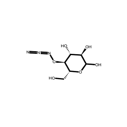 [N-]=[N+]=NO[C@H]1[C@H](O)[C@@H](O)C(O)O[C@@H]1CO